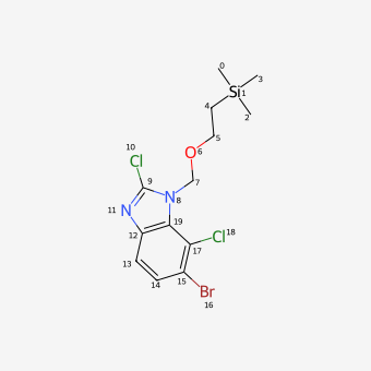 C[Si](C)(C)CCOCn1c(Cl)nc2ccc(Br)c(Cl)c21